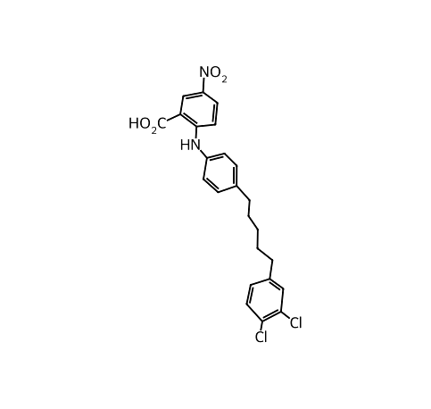 O=C(O)c1cc([N+](=O)[O-])ccc1Nc1ccc(CCCCCc2ccc(Cl)c(Cl)c2)cc1